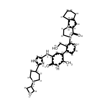 Cc1[nH]c(=O)c(Nc2c[nH]c(C3CCN(C4COC4)CC3)n2)cc1-c1ccnc(N2CCn3c(cc4c3CCCC4)C2=O)c1CO